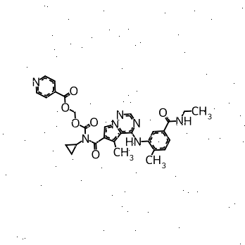 CCNC(=O)c1ccc(C)c(Nc2ncnn3cc(C(=O)N(C(=O)OCOC(=O)c4ccncc4)C4CC4)c(C)c23)c1